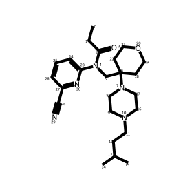 CCC(=O)N(CC1(N2CCN(CCC(C)C)CC2)CCOCC1)c1cccc(C#N)n1